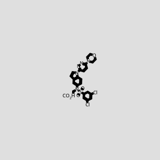 O=C(O)CN(c1ccc2c(ccn2-c2ccc(N3CCOCC3)nn2)c1)S(=O)(=O)C1C=C(Cl)C=C(Cl)C1